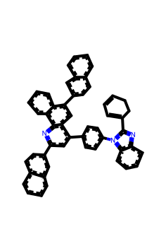 C1=CCCC(c2nc3ccccc3n2-c2ccc(-c3cc(-c4ccc5ccccc5c4)nc4c3cc(-c3ccc5ccccc5c3)c3ccccc34)cc2)=C1